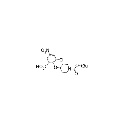 CC(C)(C)OC(=O)N1CCC(Oc2c(Cl)cc([N+](=O)[O-])cc2C(=O)O)CC1